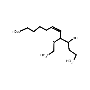 CCCCCCCCCCCCCC/C=C\C(SCC(=O)O)C(O)CCC(=O)O